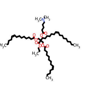 CCCC/C=C\CCCCCCCC(=O)OCC(COC(=O)CCCCCCC/C=C\CCCC)(C(=O)OCCC)C(CCCCC/C=C\CCCCCCCC)OC(=O)CCCCN(C)C